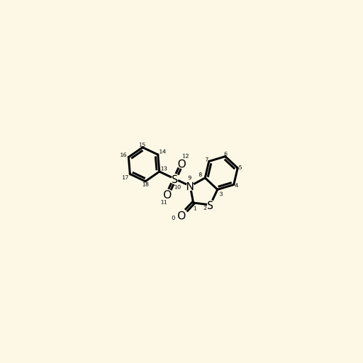 O=c1sc2ccccc2n1S(=O)(=O)c1ccccc1